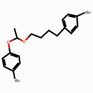 CCC(C)c1ccc(OC(C)OCCCCc2ccc(C(C)(C)C)cc2)cc1